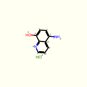 Cl.Nc1ccc(O)c2ncccc12